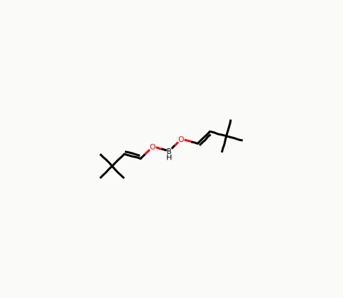 CC(C)(C)C=COBOC=CC(C)(C)C